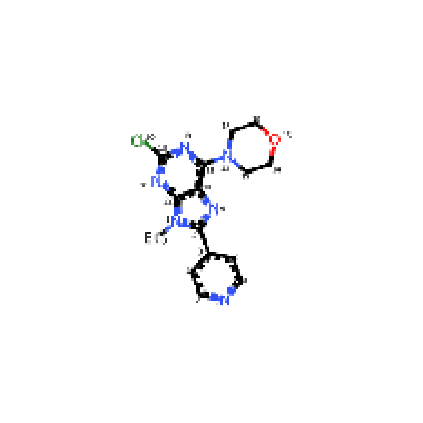 CCn1c(-c2ccncc2)nc2c(N3CCOCC3)nc(Cl)nc21